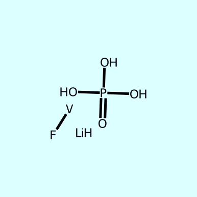 O=P(O)(O)O.[F][V].[LiH]